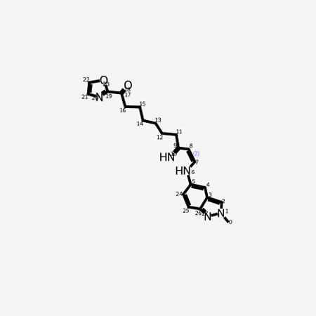 Cn1cc2cc(N/C=C\C(=N)CCCCCCC(=O)c3ncco3)ccc2n1